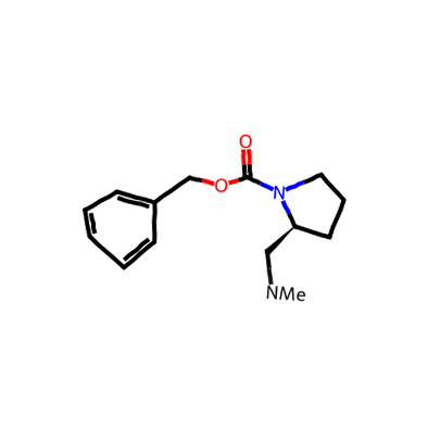 CNC[C@@H]1CCCN1C(=O)OCc1ccccc1